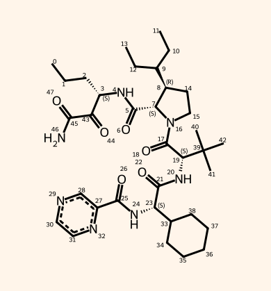 CCC[C@H](NC(=O)[C@@H]1[C@@H](C(CC)CC)CCN1C(=O)[C@@H](NC(=O)[C@@H](NC(=O)c1cnccn1)C1CCCCC1)C(C)(C)C)C(=O)C(N)=O